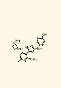 COc1nc(C)cc(O[C@@H]2CC[C@H]2N)c1-c1cc(Nc2cnc(C#N)cn2)n[nH]1